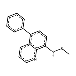 CSNc1ccc(-c2ccccc2)c2cccnc12